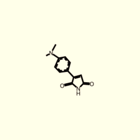 CN(C)c1ccc(C2=CC(=O)NC2=O)cc1